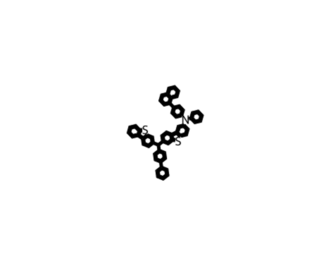 c1ccc(-c2ccc(C(c3ccc4c(c3)sc3ccccc34)c3ccc4c(c3)sc3ccc(N(c5ccccc5)c5ccc(-c6cccc7ccccc67)cc5)cc34)cc2)cc1